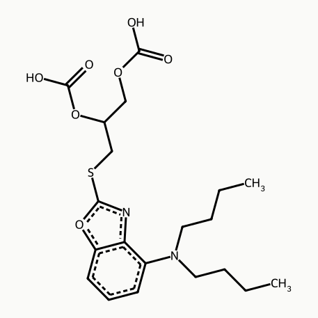 CCCCN(CCCC)c1cccc2oc(SCC(COC(=O)O)OC(=O)O)nc12